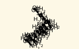 CC(C)C[C@H](N)C(=O)O.CC[C@H](C)[C@H](N)C(=O)O.CSCC[C@H](N)C(=O)O.N=C(N)NCCC[C@H](N)C(=O)O.NCCCC[C@H](N)C(=O)O.N[C@@H](Cc1c[nH]c2ccccc12)C(=O)O.N[C@@H](Cc1c[nH]cn1)C(=O)O.N[C@@H](Cc1ccc(O)cc1)C(=O)O.N[C@@H](Cc1ccccc1)C(=O)O